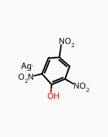 O=[N+]([O-])c1cc([N+](=O)[O-])c(O)c([N+](=O)[O-])c1.[Ag]